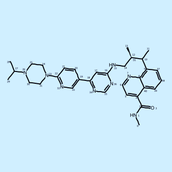 CNC(=O)c1ccnc2c(C(C)[C@H](C)CNc3cc(-c4ccc(N5CCN(C(C)C)CC5)nc4)ncn3)cccc12